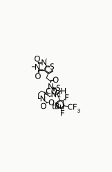 Cn1c(=O)c2c(CC(=O)N=c3scc(-c4ccc(F)c(C(F)(F)F)c4F)n3C[C@]3(C(=O)O)CCCN3C(=O)OC(C)(C)C)csc2n(C)c1=O